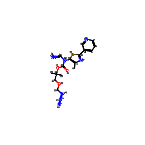 Cc1nc(-c2cccnc2)sc1N(C=N)C(=O)OC(C)(C)COCN=[N+]=[N-]